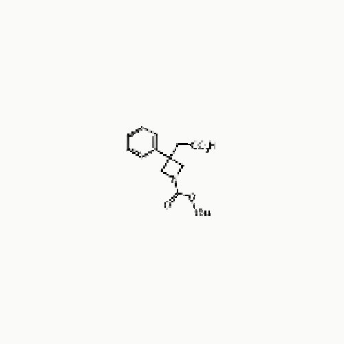 CC(C)(C)OC(=O)N1CC(CC(=O)O)(c2ccccc2)C1